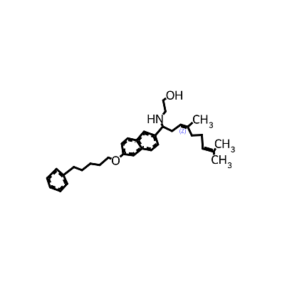 CC(C)=CCC/C(C)=C\CC(NCCO)c1ccc2cc(OCCCCCc3ccccc3)ccc2c1